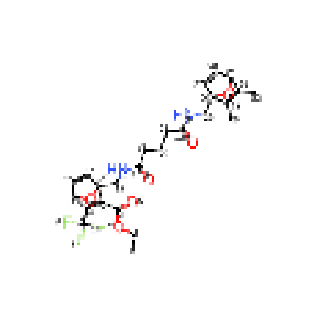 CCOC(=O)C1=C(C(F)(F)F)C2C=CC1(CNC(=O)CCCC(=O)NCC13C=CC(O1)C(C)=C3C)O2